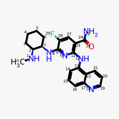 CN[C@H]1CCCC[C@H]1Nc1nc(Nc2cccc3ncccc23)c(C(N)=O)cc1F